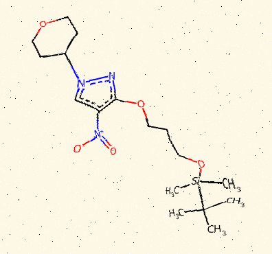 CC(C)(C)[Si](C)(C)OCCCOc1nn(C2CCOCC2)cc1[N+](=O)[O-]